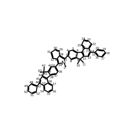 Cn1c(-c2ccc3c(c2)C(C)(C)c2cc(-c4ccccc4)c4ccccc4c2-3)c2ccccc2c1-c1ccc2c(c1)C(C)(C)c1cc(-c3ccccc3)c3ccccc3c1-2